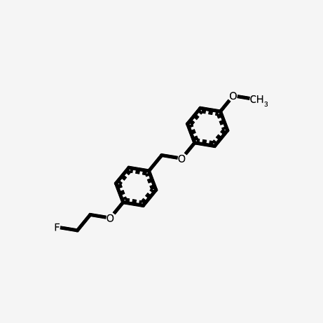 COc1ccc(OCc2ccc(OCCF)cc2)cc1